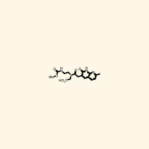 Cc1ccc2cc(CC(=O)N(CCNC(=O)OC(C)(C)C)CC(=O)O)c(=O)[nH]c2n1